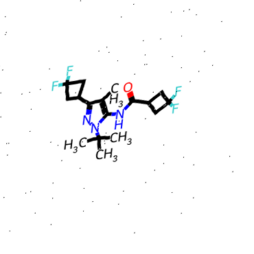 Cc1c(C2CC(F)(F)C2)nn(C(C)(C)C)c1NC(=O)C1CC(F)(F)C1